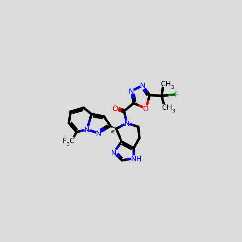 CC(C)(F)c1nnc(C(=O)N2CCc3[nH]cnc3[C@@H]2c2cc3cccc(C(F)(F)F)n3n2)o1